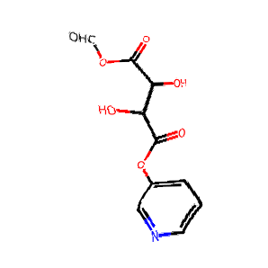 O=COC(=O)C(O)C(O)C(=O)Oc1cccnc1